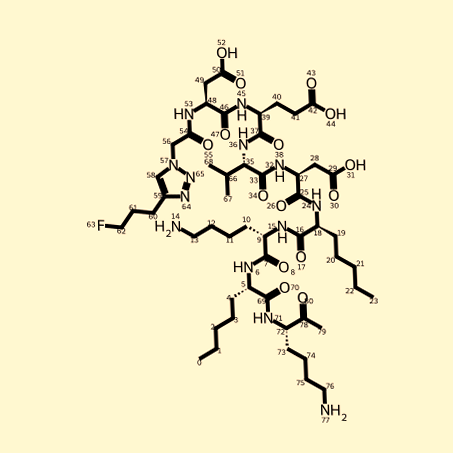 CCCCC[C@H](NC(=O)[C@H](CCCCN)NC(=O)[C@H](CCCCC)NC(=O)[C@H](CC(=O)O)NC(=O)[C@@H](NC(=O)[C@H](CCC(=O)O)NC(=O)[C@H](CC(=O)O)NC(=O)Cn1cc(CCCF)nn1)C(C)C)C(=O)N[C@@H](CCCCN)C(C)=O